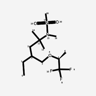 CCC(CO[C@@H](C)C(F)(F)F)CC(C)(C)N(C)S(C)(=O)=O